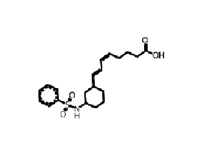 O=C(O)CCC/C=C\C=C\C1CCCC(NS(=O)(=O)c2ccccc2)C1